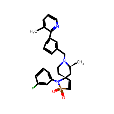 Cc1cccnc1-c1cccc(CN2CC[C@]3(C=CS(=O)(=O)N3c3cccc(F)c3)C[C@@H]2C)c1